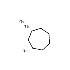 C1CCCCCC1.[Te].[Te].[Te]